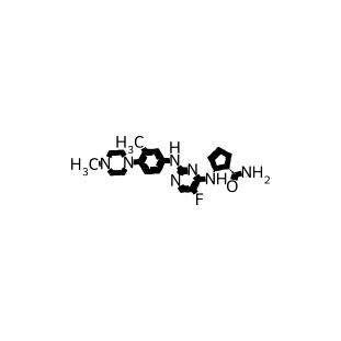 Cc1cc(Nc2ncc(F)c(N[C@@H]3C=CC[C@@H]3C(N)=O)n2)ccc1N1CCN(C)CC1